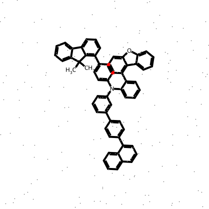 CC1(C)c2ccccc2-c2cccc(-c3ccc(N(c4cccc(-c5ccc(-c6cccc7ccccc67)cc5)c4)c4ccccc4-c4cccc5oc6ccccc6c45)cc3)c21